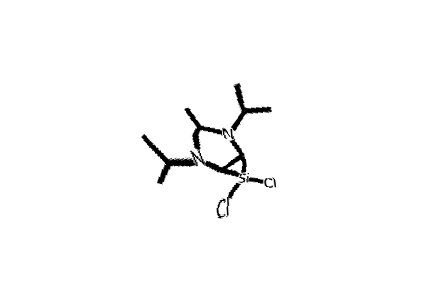 CC(C)N1C(C)N(C(C)C)C2C1[Si]2(Cl)Cl